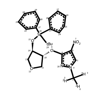 [2H]C([2H])([2H])n1cc([N+](=O)[O-])c(O[C@@H]2COC[C@H]2O[Si](c2ccccc2)(c2ccccc2)C(C)(C)C)n1